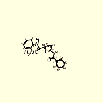 NC1=CC=CCC1NC(=O)c1ccc(CC(=O)c2ccccc2)o1